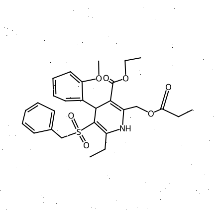 CCOC(=O)C1=C(COC(=O)CC)NC(CC)=C(S(=O)(=O)Cc2ccccc2)C1c1ccccc1OC